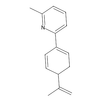 C=C(C)C1C=CC(c2cccc(C)n2)=CC1